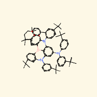 CC(C)(C)c1cccc(N(c2cccc(C(C)(C)C)c2)c2cc3c4c(c2)N(c2ccc(C(C)(C)C)cc2-c2ccccc2)c2cc5c(cc2B4c2ccc(C(C)(C)C)cc2N3c2cccc(C(C)(C)C)c2)C(C)(C)CCC5(C)C)c1